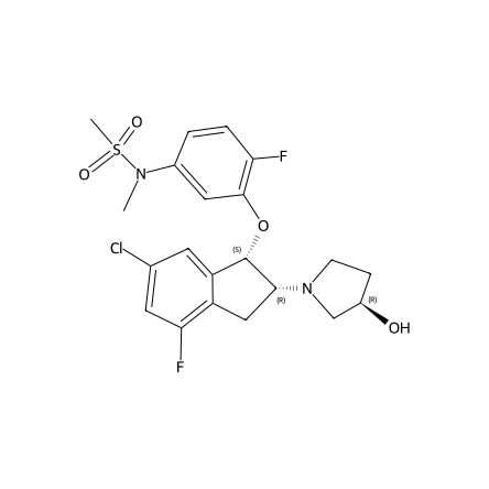 CN(c1ccc(F)c(O[C@H]2c3cc(Cl)cc(F)c3C[C@H]2N2CC[C@@H](O)C2)c1)S(C)(=O)=O